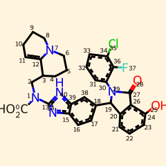 O=C(O)N(CC1CCCN2CCCC=C12)c1nc2ccc(C3c4cccc(O)c4C(=O)N3c3cccc(Cl)c3F)cc2[nH]1